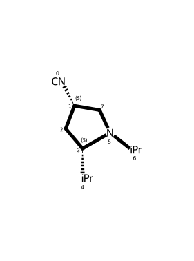 [C-]#[N+][C@H]1C[C@@H](C(C)C)N(C(C)C)C1